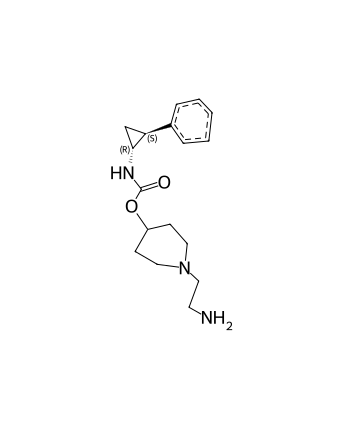 NCCN1CCC(OC(=O)N[C@@H]2C[C@H]2c2ccccc2)CC1